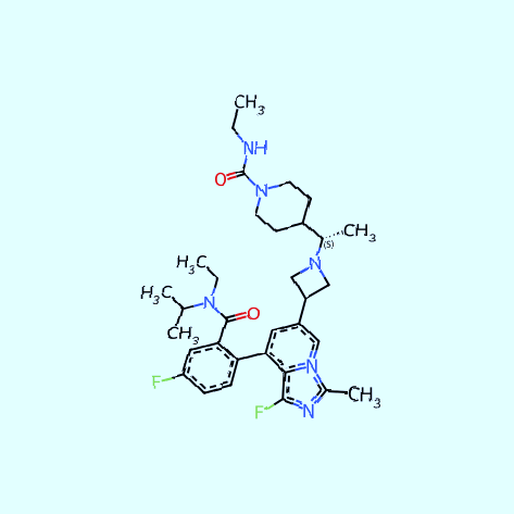 CCNC(=O)N1CCC([C@H](C)N2CC(c3cc(-c4ccc(F)cc4C(=O)N(CC)C(C)C)c4c(F)nc(C)n4c3)C2)CC1